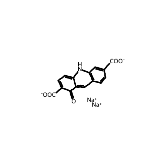 O=C([O-])c1ccc2cc3c(=O)c(C(=O)[O-])ccc-3[nH]c2c1.[Na+].[Na+]